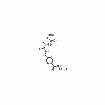 CC(NC(=O)OC(C)(C)C)C(=O)NCc1ccc(C(=N)NC(=O)O)cc1